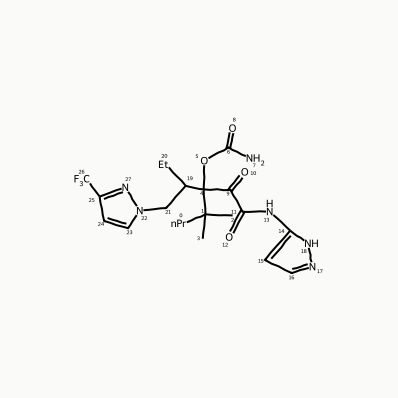 CCCC(C)(C)C(OC(N)=O)(C(=O)C(=O)Nc1ccn[nH]1)C(CC)Cn1ccc(C(F)(F)F)n1